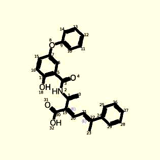 C=C(NC(=O)c1cc(Oc2ccccc2)ccc1O)/C(=C\C=C(/C)c1ccccc1)C(=O)O